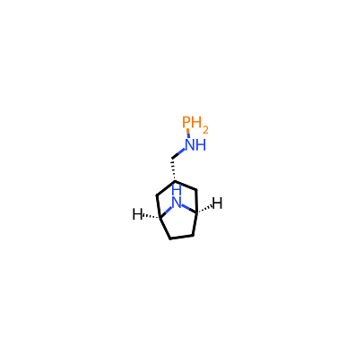 PNC[C@@H]1C[C@H]2CC[C@@H](C1)N2